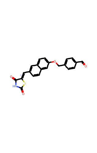 O=Cc1ccc(COc2ccc3cc(/C=C4\SC(=O)NC4=O)ccc3c2)cc1